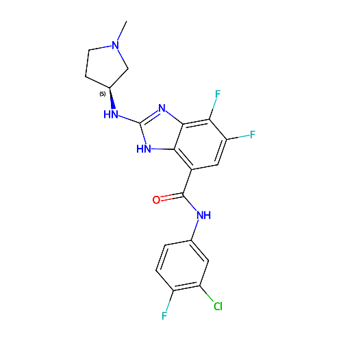 CN1CC[C@H](Nc2nc3c(F)c(F)cc(C(=O)Nc4ccc(F)c(Cl)c4)c3[nH]2)C1